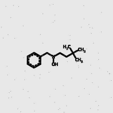 CC(C)(C)CCN(O)Cc1ccccc1